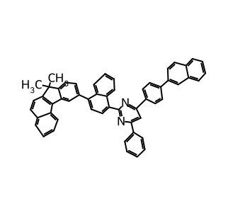 CC1(C)c2ccc(-c3ccc(-c4nc(-c5ccccc5)cc(-c5ccc(-c6ccc7ccccc7c6)cc5)n4)c4ccccc34)cc2-c2c1ccc1ccccc21